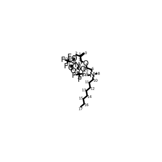 C=C(C)C(OCC[N+](C)(C)CCCCCCCC)=[N+](S(=O)(=O)C(F)(F)F)S(=O)(=O)C(F)(F)F